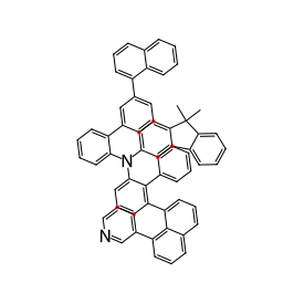 CC1(C)c2ccccc2-c2cc(N(c3ccccc3-c3cccc(-c4cccc5ccccc45)c3)c3cccc(-c4cccc5cccc(-c6cccnc6)c45)c3-c3ccccc3)ccc21